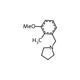 COc1cccc(CN2CCCC2)c1C